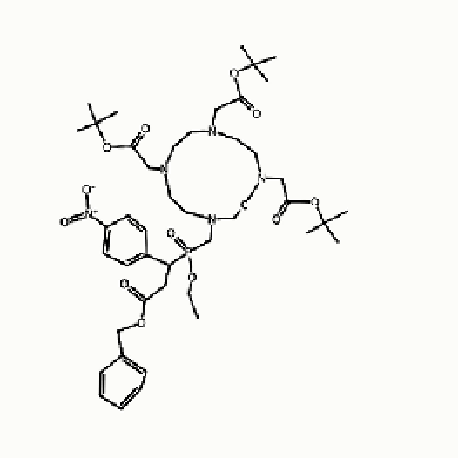 CCOP(=O)(CN1CCN(CC(=O)OC(C)(C)C)CCN(CC(=O)OC(C)(C)C)CCN(CC(=O)OC(C)(C)C)CC1)C(CC(=O)OCc1ccccc1)c1ccc([N+](=O)[O-])cc1